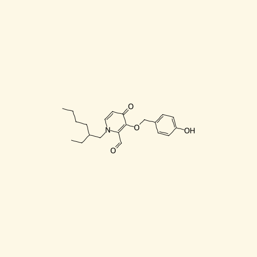 CCCCC(CC)Cn1ccc(=O)c(OCc2ccc(O)cc2)c1C=O